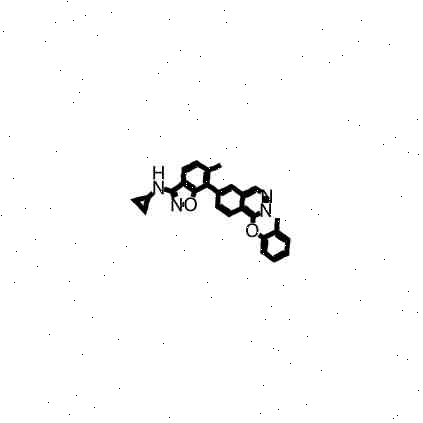 Cc1ccccc1Oc1nncc2cc(-c3c(C)ccc4c(NC5CC5)noc34)ccc12